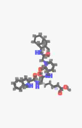 COC(=O)/C=C/CC[C@H](NC(=O)c1cc2ccccc2[nH]1)C(=O)Nc1cccn(CC(=O)NC2C(C)CC3CCCC2C3)c1=O